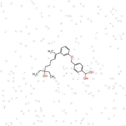 CCC(O)(CC)CCCC=C(C)c1cccc(OCc2ccc(C(O)O)cc2)c1